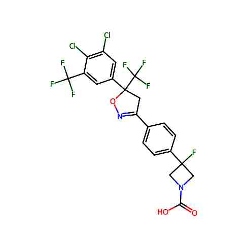 O=C(O)N1CC(F)(c2ccc(C3=NOC(c4cc(Cl)c(Cl)c(C(F)(F)F)c4)(C(F)(F)F)C3)cc2)C1